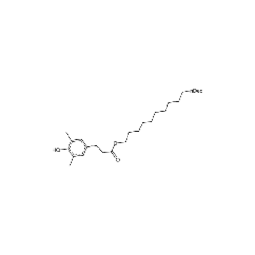 CCCCCCCCCCCCCCCCCCCCOC(=O)CCc1cc(C)c(O)c(C)c1